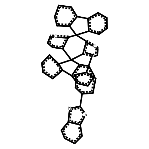 c1ccc2c(c1)-c1ccccc1C21c2ccccc2C2(c3ccccc3-c3ccccc32)c2c(-c3ccc(-c4nc5ccccc5s4)cc3)cccc21